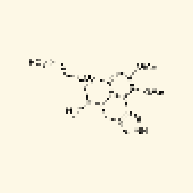 COc1cc2c3c(c1OC)-c1c[nH]cc1CC3N(C)CC2.O=C(O)C=CC(=O)O